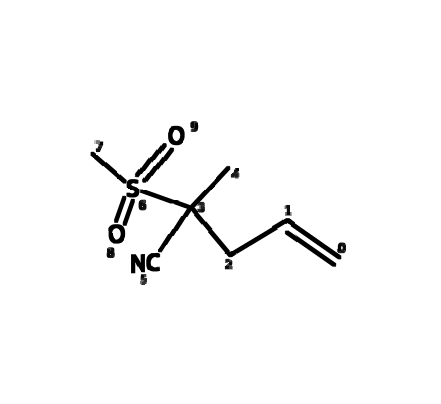 C=CCC(C)([14C]#N)S(C)(=O)=O